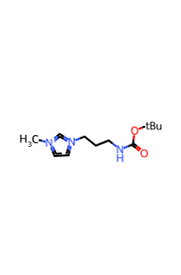 C[n+]1ccn(CCCNC(=O)OC(C)(C)C)c1